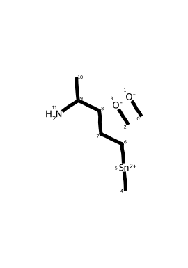 C[O-].C[O-].[CH3][Sn+2][CH2]CCC(C)N